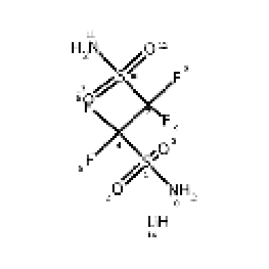 NS(=O)(=O)C(F)(F)C(F)(F)S(N)(=O)=O.[LiH]